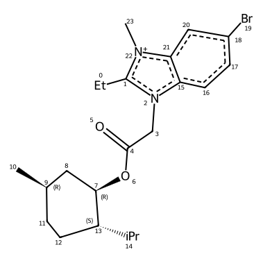 CCc1n(CC(=O)O[C@@H]2C[C@H](C)CC[C@H]2C(C)C)c2ccc(Br)cc2[n+]1C